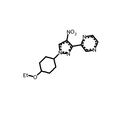 CCOC1CCC(n2cc([N+](=O)[O-])c(-c3cnccn3)n2)CC1